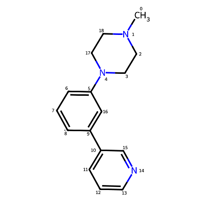 CN1CCN(c2cc[c]c(-c3cccnc3)c2)CC1